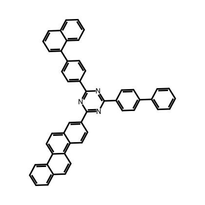 c1ccc(-c2ccc(-c3nc(-c4ccc(-c5cccc6ccccc56)cc4)nc(-c4ccc5c(ccc6c7ccccc7ccc56)c4)n3)cc2)cc1